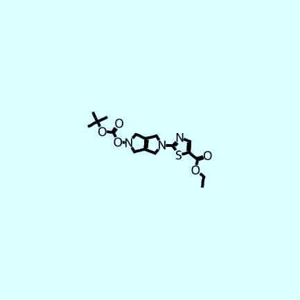 CCOC(=O)c1cnc(N2CC3=C(CN(OC(=O)OC(C)(C)C)C3)C2)s1